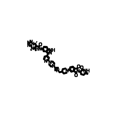 C=C1CCC(N2C(=O)c3ccc(N4CCC(CN5CC(N6CCN(c7cc(-c8n[nH]c9ccc(NC(=O)C%10=C(C)N(C)c%11nnnn%11[C@@H]%10C)cc89)ccn7)CC6)C5)CC4)cc3C2=O)C(=O)N1